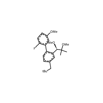 COc1ccc(F)c(-c2ccc(CC(C)(C)C)cc2[C@@H](OC)C(C)(C)OC)c1